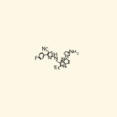 CCc1nc2ccc(N3CC[C@@H](N)C3)nn2c1CNc1nc(-c2ccc(F)cc2)c(C#N)s1